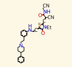 CCn1c(=C=C(C#N)C(=O)NCC#N)sc(=C=CNc2cccc(CCN3CCC(c4ccccc4)CC3)c2)c1=O